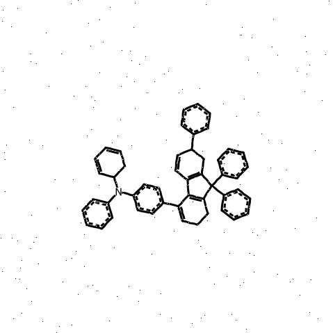 C1=CCC(N(c2ccccc2)c2ccc(C3=CCCC4=C3C3=C(CC(c5ccccc5)C=C3)C4(c3ccccc3)c3ccccc3)cc2)C=C1